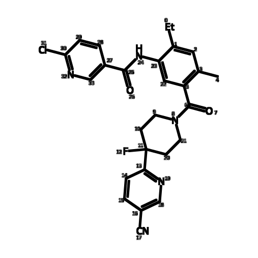 CCc1cc(C)c(C(=O)N2CCC(F)(c3ccc(C#N)cn3)CC2)cc1NC(=O)c1ccc(Cl)nc1